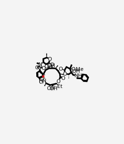 CC[C@H]1OC(=O)[C@H](C)[C@@H](O[C@H]2C[C@@](C)(OC)[C@](O)(CNCc3ccccc3)[C@H](C)O2)[C@H](C)[C@@H](O[C@@H]2O[C@H](C)C[C@H](N(C)S(=O)(=O)c3ccc(Cl)cc3)[C@H]2O)[C@](C)(O)C[C@@H](C)CN[C@H](C)[C@@H](O)[C@]1(C)O